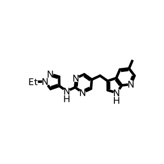 CCn1cc(Nc2ncc(Cc3c[nH]c4ncc(C)cc34)cn2)cn1